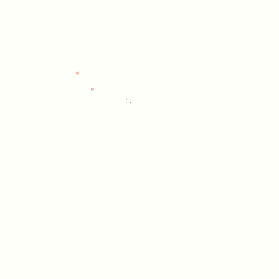 c1ccc(-c2ccc(N(c3ccccc3)c3cc4c(cc3-c3cccc5c3CCCC5)-c3ccccc3C4(c3ccccc3)c3ccccc3)cc2)cc1